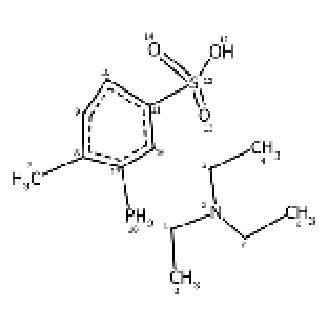 CCN(CC)CC.Cc1ccc(S(=O)(=O)O)cc1P